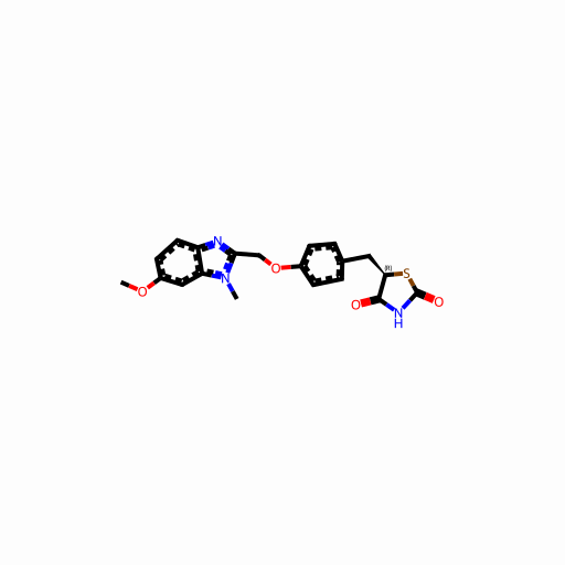 COc1ccc2nc(COc3ccc(C[C@H]4SC(=O)NC4=O)cc3)n(C)c2c1